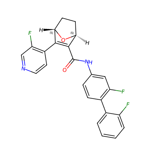 O=C(Nc1ccc(-c2ccccc2F)c(F)c1)C1=C(c2ccncc2F)[C@@H]2CC[C@@H]1O2